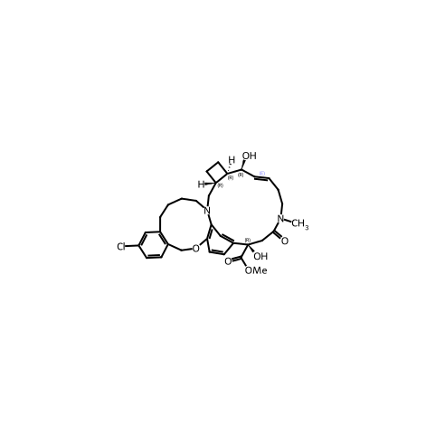 COC(=O)[C@@]1(O)CC(=O)N(C)CC/C=C/[C@H](O)[C@@H]2CC[C@H]2CN2CCCCc3cc(Cl)ccc3COc3ccc1cc32